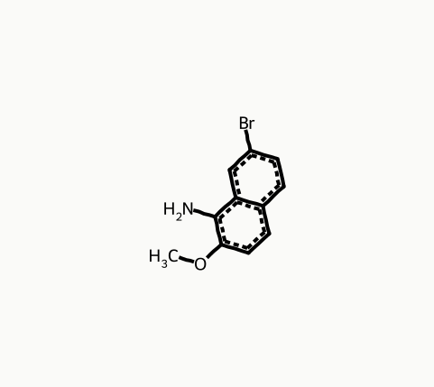 COc1ccc2ccc(Br)cc2c1N